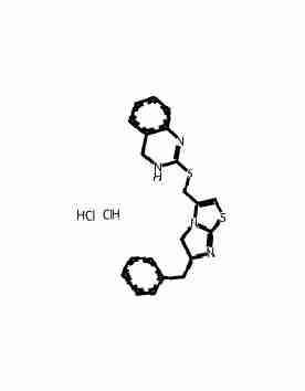 C1=C(CSC2=Nc3ccccc3CN2)N2CC(Cc3ccccc3)N=C2S1.Cl.Cl